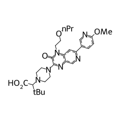 CCCOCCn1c(=O)c(N2CCN(C(C(=O)O)C(C)(C)C)CC2)nc2cnc(-c3ccc(OC)nc3)cc21